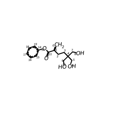 C=C(CCC(CO)(CO)CO)C(=O)Oc1ccccc1